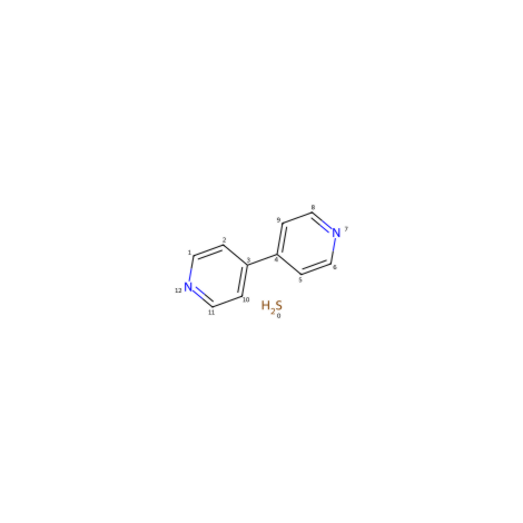 S.c1cc(-c2ccncc2)ccn1